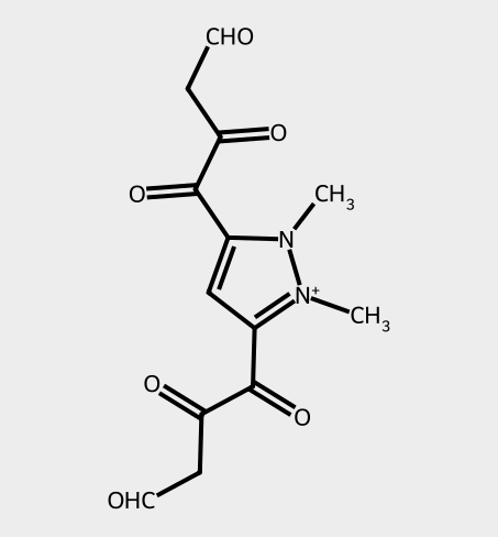 Cn1c(C(=O)C(=O)CC=O)cc(C(=O)C(=O)CC=O)[n+]1C